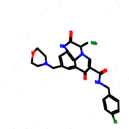 Br.CC1C(=O)Nc2cc(CN3CCOCC3)cc3c(=O)c(C(=O)NCc4ccc(Cl)cc4)cn1c23